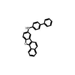 c1ccc(-c2ccc(Nc3ccc4oc5c6ccccc6ccc5c4c3)cc2)cc1